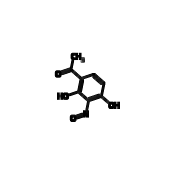 CC(=O)c1ccc(O)c(N=O)c1O